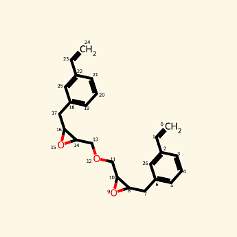 C=Cc1cccc(CC2OC2COCC2OC2Cc2cccc(C=C)c2)c1